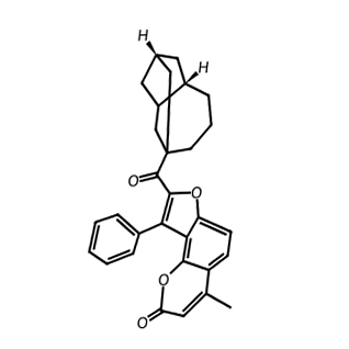 Cc1cc(=O)oc2c1ccc1oc(C(=O)C34CCC[C@H]5C[C@@H](CC5C3)C4)c(-c3ccccc3)c12